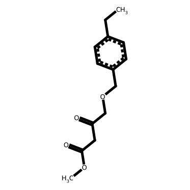 CCc1ccc(COCC(=O)CC(=O)OC)cc1